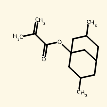 C=C(C)C(=O)OC12CC(C)CC(CC(C)C1)C2